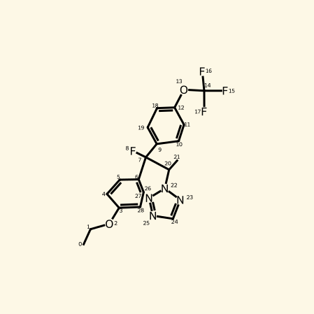 CCOc1ccc(C(F)(c2ccc(OC(F)(F)F)cc2)C(C)n2ncnn2)cc1